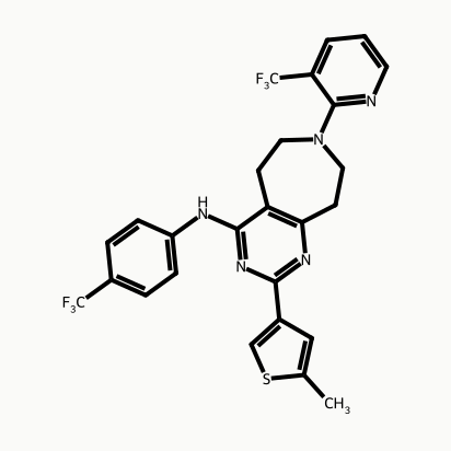 Cc1cc(-c2nc3c(c(Nc4ccc(C(F)(F)F)cc4)n2)CCN(c2ncccc2C(F)(F)F)CC3)cs1